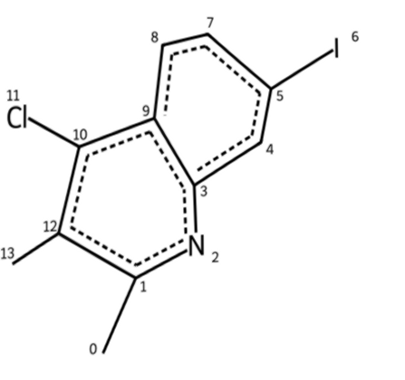 Cc1nc2cc(I)ccc2c(Cl)c1C